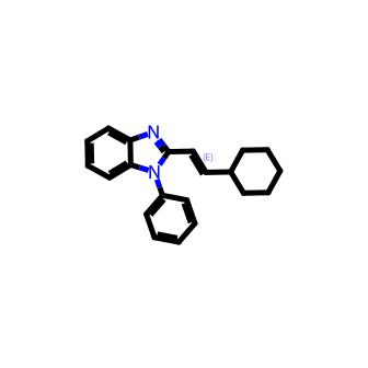 C(=C\C1CCCCC1)/c1nc2ccccc2n1-c1ccccc1